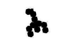 c1ccc(-c2cccc(-c3ccc4c(c3)N(c3ccccc3)c3cc(-c5cccc(-c6ccccc6)c5)ccc3N4c3ccc(-c4ccc5sc6ccccc6c5c4)cc3)c2)cc1